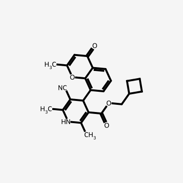 CC1=C(C#N)C(c2cccc3c(=O)cc(C)oc23)C(C(=O)OCC2CCC2)=C(C)N1